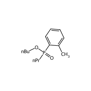 CCCCOP(=O)(CCC)c1ccccc1C